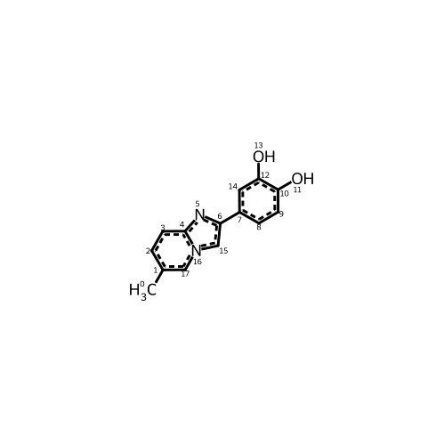 Cc1ccc2nc(-c3ccc(O)c(O)c3)cn2c1